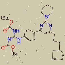 CC(C)(C)OC(=O)N=C(NC(=O)OC(C)(C)C)Nc1ccc(-c2cc(CCCc3ccccc3)nc(N3CCCCC3)n2)cc1